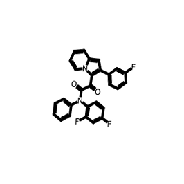 O=C(C(=O)N(c1ccccc1)c1ccc(F)cc1F)c1c(-c2cccc(F)c2)cc2ccccn12